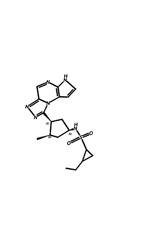 CCC1CC1S(=O)(=O)N[C@H]1C[C@@H](C)[C@@H](c2nnc3cnc4[nH]ccc4n23)C1